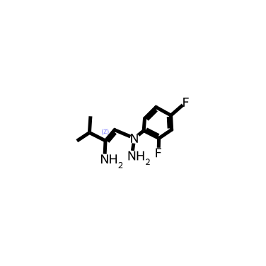 CC(C)/C(N)=C/N(N)c1ccc(F)cc1F